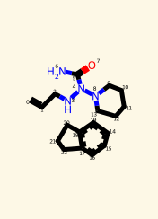 C=CCNN(C(N)=O)N1CCCCC1.c1ccc2c(c1)CCC2